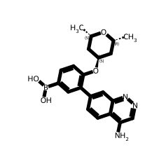 C[C@@H]1C[C@@H](Oc2ccc(B(O)O)cc2-c2ccc3c(N)cnnc3c2)C[C@H](C)O1